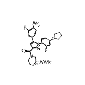 CN[C@@H]1CCCN(C(=O)c2cc(-c3ccc(N)c(F)c3)n(-c3ccc(N4CCCC4)cc3F)n2)C1